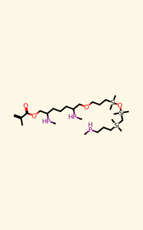 C=C(C)C(=O)OCC(CCCC(COCCC[Si](C)(C)O[Si](C)(C)C[Si](C)(C)CCCPC)PC)PC